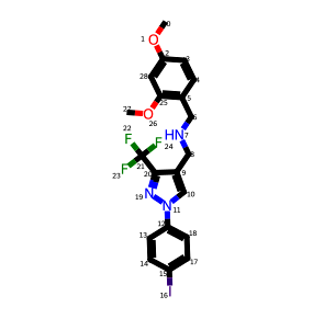 COc1ccc(CNCc2cn(-c3ccc(I)cc3)nc2C(F)(F)F)c(OC)c1